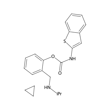 C1CC1.CC(C)NCc1ccccc1OC(=O)Nc1cc2ccccc2s1